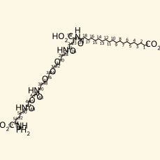 O=C(O)CCCCCCCCCCCCCCCCCCC(=O)N[C@@H](CCC(=O)NCCCOCCOCCOCCCNC(=O)COCC(=O)NCCCC[C@H](NP)C(=O)O)C(=O)O